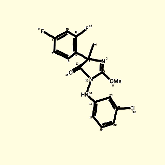 COC1=NC(C)(c2ccc(F)cc2F)C(=O)N1Nc1cccc(Cl)c1